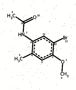 COc1cc(C)c(NC(C)=O)cc1Br